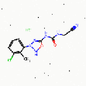 Cc1c(Cl)cccc1N1N=C(NC(=O)NCC#N)ON1.Cl